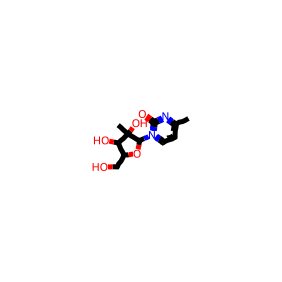 Cc1ccn(C2OC(CO)C(O)C2(C)O)c(=O)n1